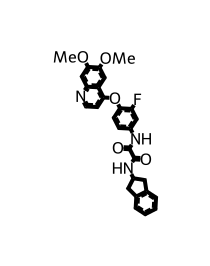 COc1cc2nccc(Oc3ccc(NC(=O)C(=O)NC4Cc5ccccc5C4)cc3F)c2cc1OC